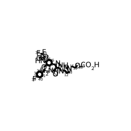 C[C@H](Oc1cc(-c2n[nH]c(Nc3ccn(CCOCC(=O)O)n3)c2C(N)=O)ccc1NS(=O)(=O)C(F)F)c1ccc(F)cc1